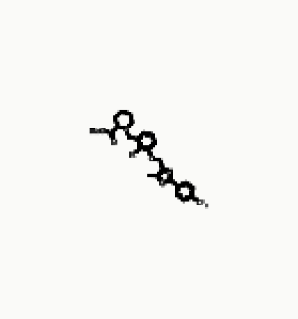 CCc1c(CN2CCCCC2C(=O)OC)cccc1OCc1nc(-c2ccc(C(F)(F)F)cc2)oc1C